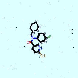 O=C(c1ccc(S)nc1)N(CC1CCCCC1)c1ccc(F)cc1